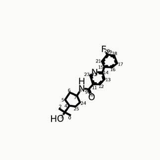 CC(C)(O)C1CCC(NC(=O)c2ccc(-c3cccc(F)c3)nc2)CC1